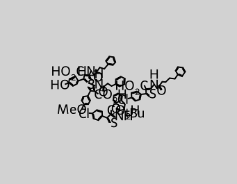 CC(C)(C)C(Cc1ccccc1)C(=O)Nc1scc(-c2ccc(Cl)cc2)c1C(=O)O.COc1ccc(-c2csc(NC(=O)CCc3ccccc3)c2C(=O)O)cc1.O=C(CCCCc1ccccc1)Nc1scc(-c2ccc(Cl)cc2)c1C(=O)O.O=C(CCc1ccccc1)Nc1scc(-c2ccc(O)cc2)c1C(=O)O